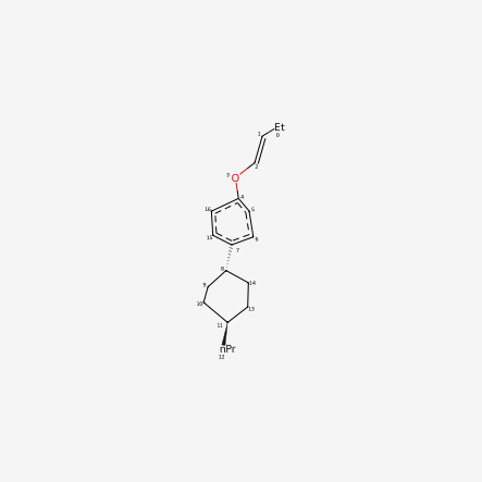 CCC=COc1ccc([C@H]2CC[C@H](CCC)CC2)cc1